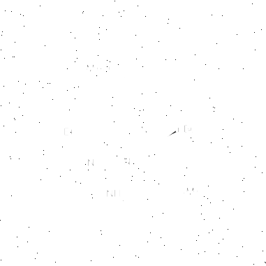 CCCC[C@@H](CCSC)Nc1nc(N)nc(CC)c1Cc1ccccc1OC